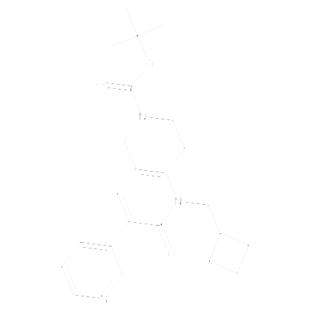 CC(C)(C)OC(=O)N1CCc2c(cc(-c3cccnc3)c(=O)n2CC2CCC2)C1